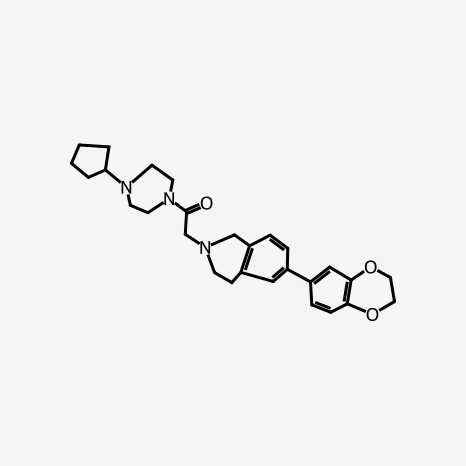 O=C(CN1CCc2cc(-c3ccc4c(c3)OCCO4)ccc2C1)N1CCN(C2CCCC2)CC1